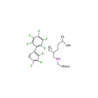 CCCC(C)CPCC(C)CCC(CC)CCC.Fc1ccc(-c2c(F)c(F)c(F)c(F)c2F)c(F)c1F